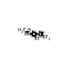 C=CC(=O)Nc1ccc(-n2ncc(C(F)(F)F)n2)c(CC)c1